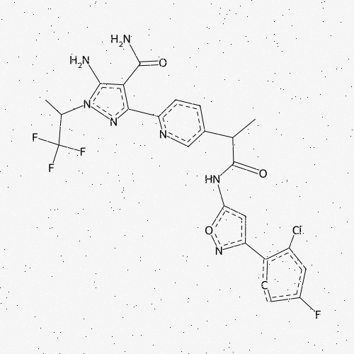 CC(C(=O)Nc1cc(-c2ccc(F)cc2Cl)no1)c1ccc(-c2nn(C(C)C(F)(F)F)c(N)c2C(N)=O)nc1